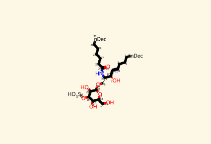 CCCCCCCCCCCCC/C=C/[C@@H](O)[C@H](COC1OC(CO)C(O)C(OS(=O)(=O)O)C1O)NC(=O)CCCCCCCCCCCCCCC